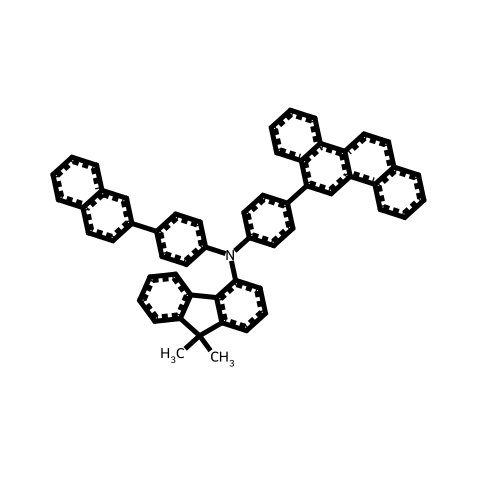 CC1(C)c2ccccc2-c2c(N(c3ccc(-c4ccc5ccccc5c4)cc3)c3ccc(-c4cc5c6ccccc6ccc5c5ccccc45)cc3)cccc21